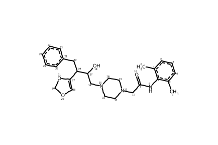 Cc1cccc(C)c1NC(=O)CN1CCN(CC(O)C(Cc2ccccc2)C2=COCO2)CC1